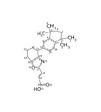 CC1(C)CCC(C)(C)c2cc(C3CCCc4oc(C=CC(=O)O)nc43)ccc21